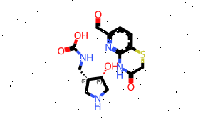 O=C(O)NC[C@H]1CNC[C@H]1O.O=Cc1ccc2c(n1)NC(=O)CS2